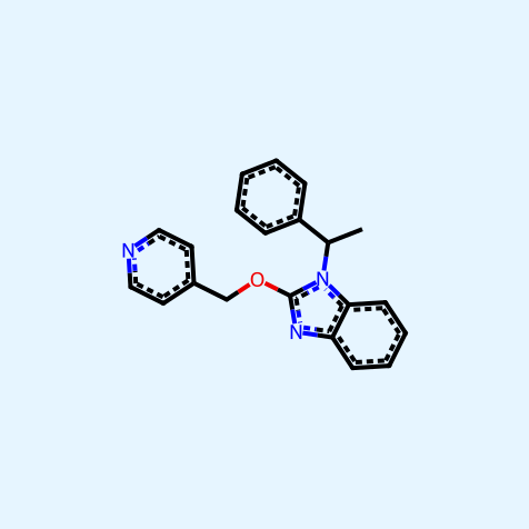 CC(c1ccccc1)n1c(OCc2ccncc2)nc2ccccc21